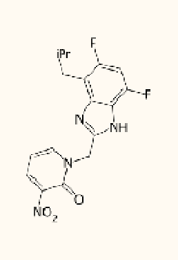 CC(C)Cc1c(F)cc(F)c2[nH]c(Cn3cccc([N+](=O)[O-])c3=O)nc12